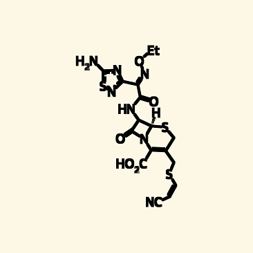 CCO/N=C(/C(=O)NC1C(=O)N2C(C(=O)O)=C(CS/C=C\C#N)CS[C@H]12)c1nsc(N)n1